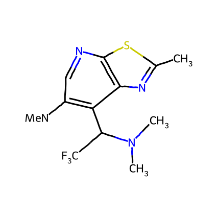 CNc1cnc2sc(C)nc2c1C(N(C)C)C(F)(F)F